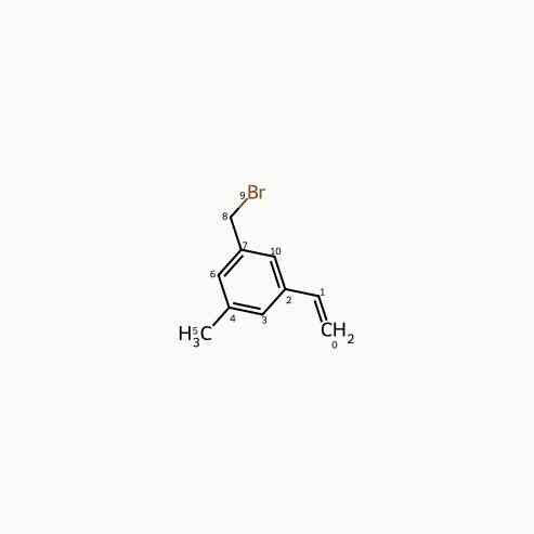 C=Cc1cc(C)cc(CBr)c1